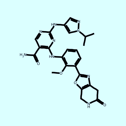 COc1c(Nc2nc(Nc3cnn(C(C)C)c3)ncc2C(N)=O)cccc1-c1nc2c(o1)CNC(=O)C2